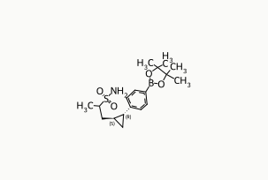 CC(C[C@@H]1C[C@H]1c1ccc(B2OC(C)(C)C(C)(C)O2)cc1)S(N)(=O)=O